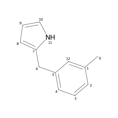 Cc1cccc(Cc2ccc[nH]2)c1